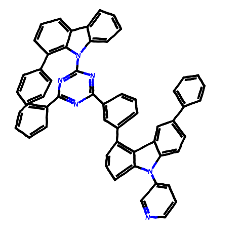 c1ccc(-c2ccc3c(c2)c2c(-c4cccc(-c5nc(-c6ccccc6)nc(-n6c7ccccc7c7cccc(-c8ccccc8)c76)n5)c4)cccc2n3-c2cccnc2)cc1